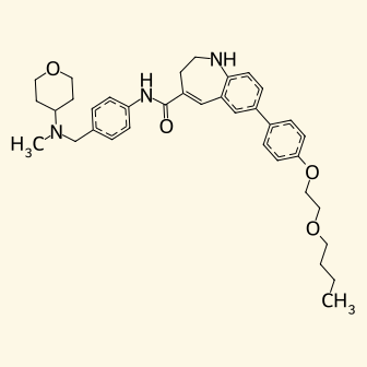 CCCCOCCOc1ccc(-c2ccc3c(c2)C=C(C(=O)Nc2ccc(CN(C)C4CCOCC4)cc2)CCN3)cc1